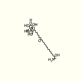 CC(N)C(O)CCCCCCCCCCCCCCC(=O)CCCCCCCC(O[C@@H]1O[C@H](CO)[C@@H](O)[C@H](O)[C@H]1O)C(N)CO